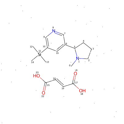 CN1CCCC1c1cncc([Si](C)(C)C)c1.O=C(O)/C=C/C(=O)O